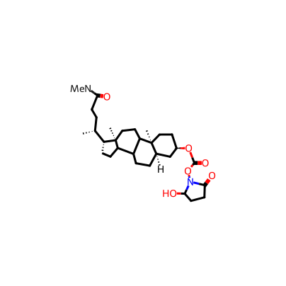 CNC(=O)CC[C@@H](C)[C@H]1CCC2C3CC[C@@H]4C[C@H](OC(=O)ON5C(=O)CCC5O)CC[C@]4(C)C3CC[C@@]21C